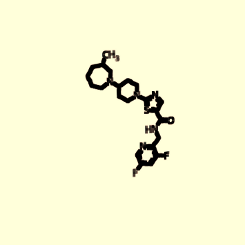 CC1CCCCN(C2CCN(c3ncc(C(=O)NCc4ncc(F)cc4F)s3)CC2)C1